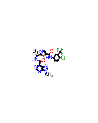 CC(NC(=O)c1ncnc2c1ncn2C)c1ncc(C(=O)Nc2ccc(Cl)c(C(F)(F)F)c2)s1